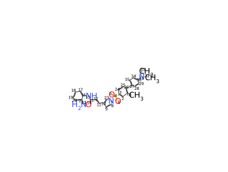 Cc1cc(S(=O)(=O)n2ccc(C=CC(=O)Nc3ccccc3N)c2)ccc1-c1ccc(N(C)C)cc1